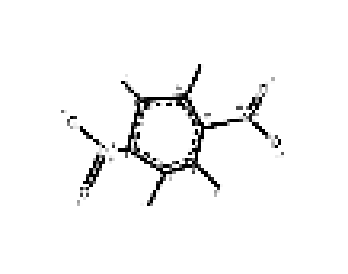 Cc1c(C)c([N+](=O)[O-])c(C)c(C)c1[N+](=O)[O-]